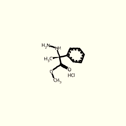 COC(=O)[C@](C)(NN)c1ccccc1.Cl